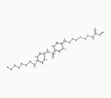 C=CC(=O)OCCCCCCOc1ccc(C(=O)Oc2ccc(OCCCCCCC)cc2)cc1